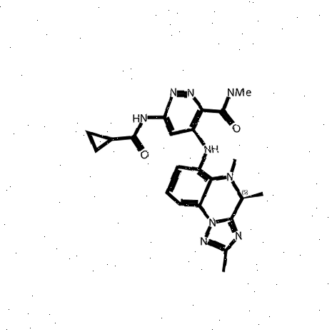 CNC(=O)c1nnc(NC(=O)C2CC2)cc1Nc1cccc2c1N(C)[C@@H](C)c1nc(C)nn1-2